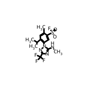 CNc1nc(C(F)(F)F)nn1-c1cc(S(=O)(=O)F)c(C)cc1C(C)C